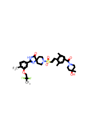 Cc1cc(C(=O)N2CCC(C)(O)CC2)cc(C)c1C=CS(=O)(=O)N1CCC2(CC1)N=C(c1ccc(C(F)(F)F)c(OCC(F)(F)C(F)(F)F)c1)NC2=O